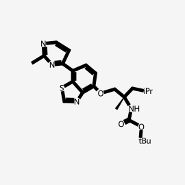 Cc1nccc(-c2ccc(OC[C@](C)(CC(C)C)NC(=O)OC(C)(C)C)c3ncsc23)n1